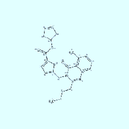 CCCCc1nc2cccc(C)c2c(=O)n1Cc1ccc(C(=O)OC2CC=CC2)s1